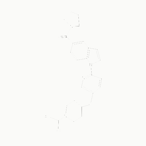 CC(=O)C(C)N1CCC(Oc2ccc(-n3ccc4cc(C(=O)N5CCCC5)ccc43)nc2)CC1